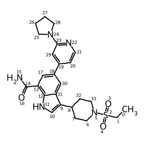 CCS(=O)(=O)N1CCC(c2c[nH]c3c(C(N)=O)cc(-c4ccnc(N5CCCC5)c4)cc23)CC1